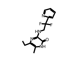 CCc1nc(NCC(F)(F)c2ccccn2)c(=O)[nH]c1C